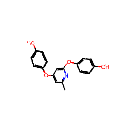 Cc1cc(Oc2ccc(O)cc2)cc(Oc2ccc(O)cc2)n1